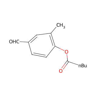 [CH2]CCCC(=O)Oc1ccc(C=O)cc1C